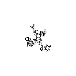 O=C(COC(=O)c1cccs1)O[C@@H](Cc1c(Cl)cncc1Cl)c1ccc(OC(F)F)c(OCC2CC2)c1